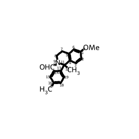 COc1ccc2c(c1)CCN(C=O)C2(C)c1ccc(C)cc1